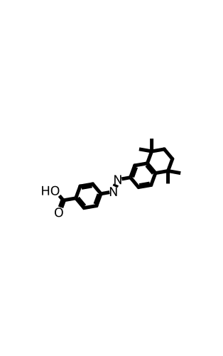 CC1(C)CCC(C)(C)c2cc(/N=N/c3ccc(C(=O)O)cc3)ccc21